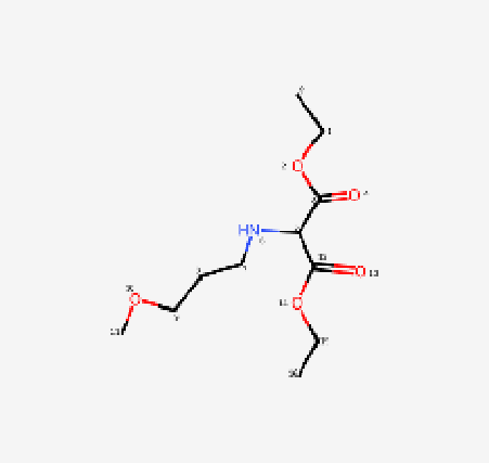 CCOC(=O)C(NCCCOC)C(=O)OCC